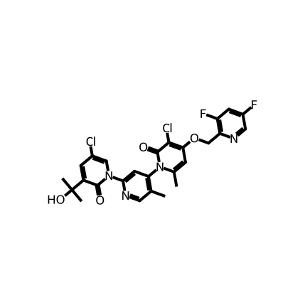 Cc1cnc(-n2cc(Cl)cc(C(C)(C)O)c2=O)cc1-n1c(C)cc(OCc2ncc(F)cc2F)c(Cl)c1=O